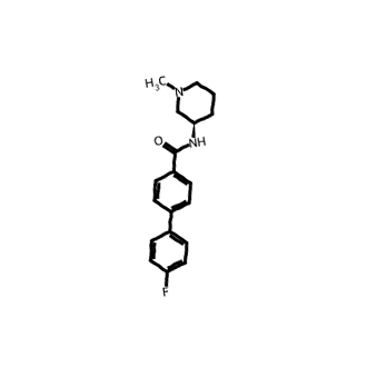 CN1CCC[C@@H](NC(=O)c2ccc(-c3ccc(F)cc3)cc2)C1